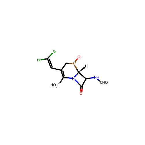 O=CNC1C(=O)N2C(C(=O)O)=C(C=C(Br)Br)C[S+]([O-])[C@H]12